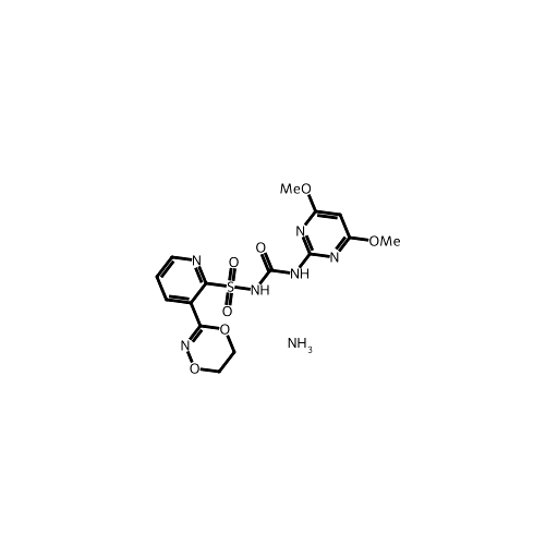 COc1cc(OC)nc(NC(=O)NS(=O)(=O)c2ncccc2C2=NOCCO2)n1.N